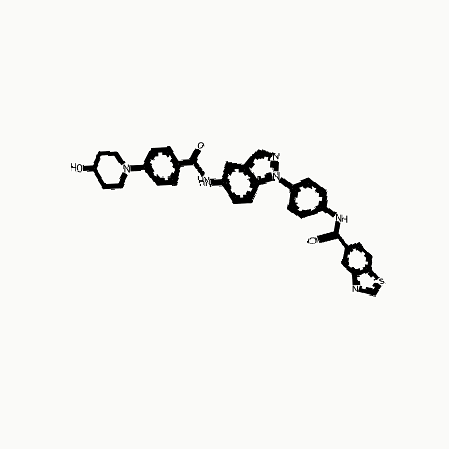 O=C(Nc1ccc2c(cnn2-c2ccc(NC(=O)c3ccc4scnc4c3)cc2)c1)c1ccc(N2CCC(O)CC2)cc1